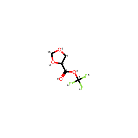 O=C(OC(F)(F)F)C1COCO1